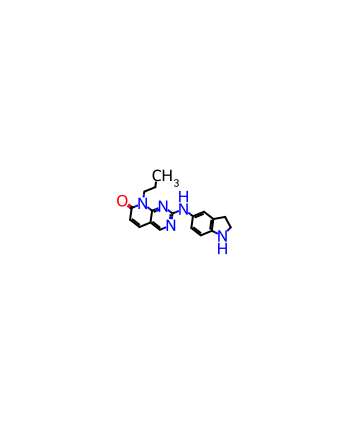 CCCn1c(=O)ccc2cnc(Nc3ccc4c(c3)CCN4)nc21